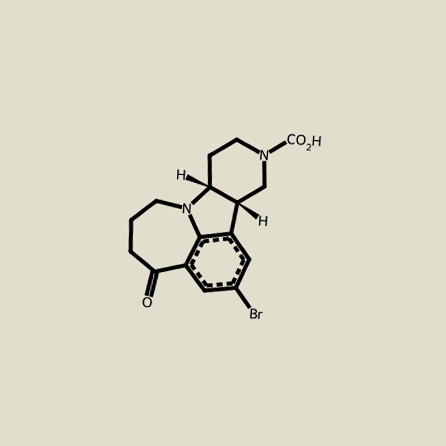 O=C1CCCN2c3c1cc(Br)cc3[C@H]1CN(C(=O)O)CC[C@H]12